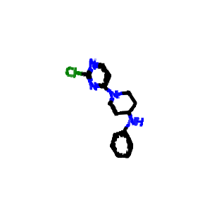 Clc1nccc(N2CCC(Nc3ccccc3)CC2)n1